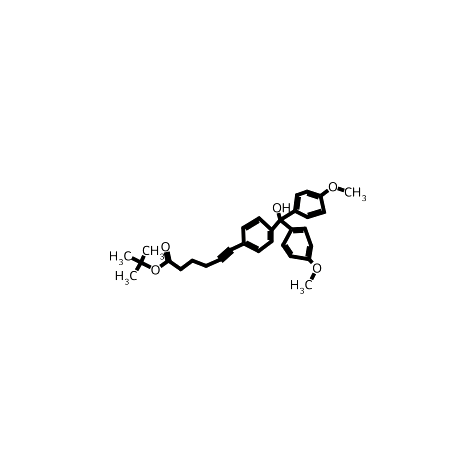 COc1ccc(C(O)(c2ccc(C#CCCCC(=O)OC(C)(C)C)cc2)c2ccc(OC)cc2)cc1